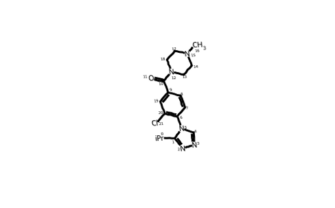 CC(C)c1nncn1-c1ccc(C(=O)N2CCN(C)CC2)cc1Cl